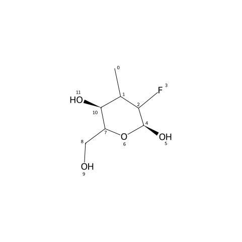 CC1C(F)[C@@H](O)OC(CO)[C@H]1O